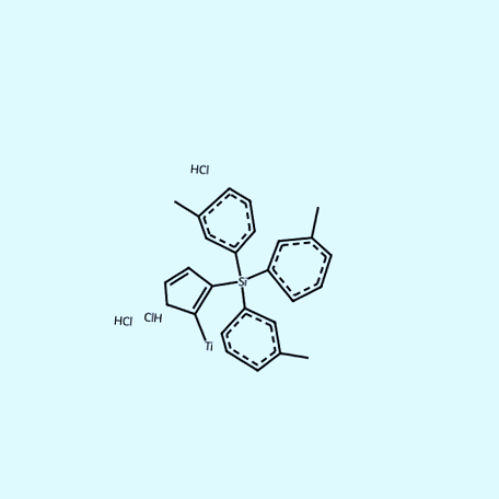 Cc1cccc([Si](C2=[C]([Ti])CC=C2)(c2cccc(C)c2)c2cccc(C)c2)c1.Cl.Cl.Cl